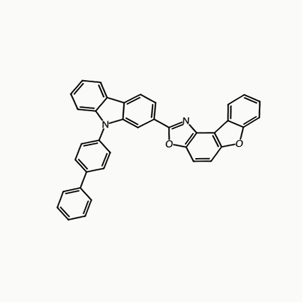 c1ccc(-c2ccc(-n3c4ccccc4c4ccc(-c5nc6c(ccc7oc8ccccc8c76)o5)cc43)cc2)cc1